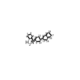 NN(c1ccccc1)c1ccc(-c2ccc3ccccc3c2)cc1